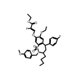 CCCCC1CC(c2ccc(F)cc2)c2cc(SCC)c(O/C=C(\F)C(=O)OCC)cc2S(=O)(=O)N1Cc1ccc(OC)cc1